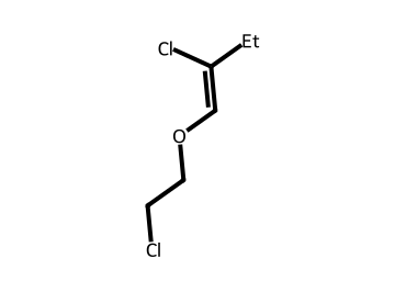 CC/C(Cl)=C/OCCCl